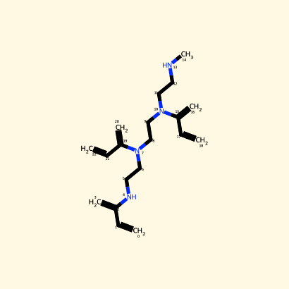 C=CC(=C)NCCN(CCN(CCNC)C(=C)C=C)C(=C)C=C